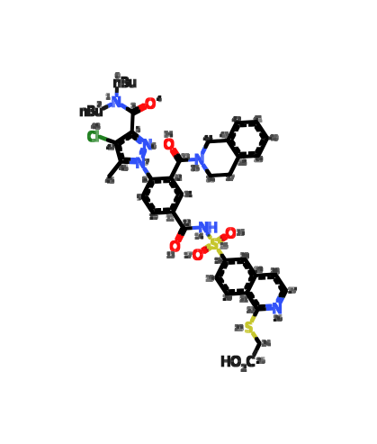 CCCCN(CCCC)C(=O)c1nn(-c2ccc(C(=O)NS(=O)(=O)c3ccc4c(SCC(=O)O)nccc4c3)cc2C(=O)N2CCc3ccccc3C2)c(C)c1Cl